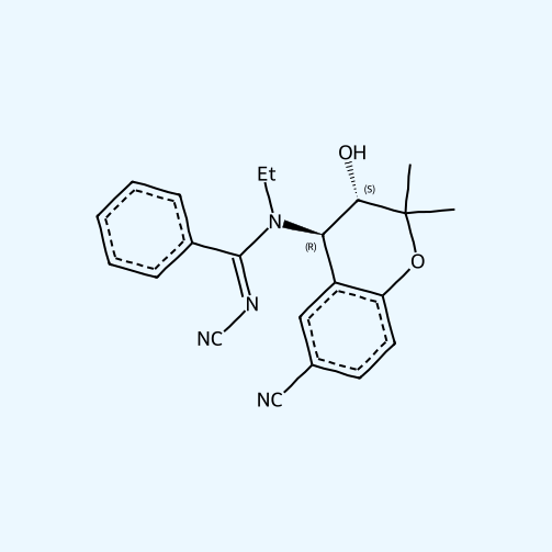 CCN(C(=NC#N)c1ccccc1)[C@@H]1c2cc(C#N)ccc2OC(C)(C)[C@H]1O